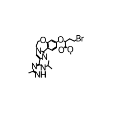 COC(=O)C(CCBr)Oc1ccc2c(c1)OCCn1cc(/C(=N/C(C)=N)NC(C)C)nc1-2